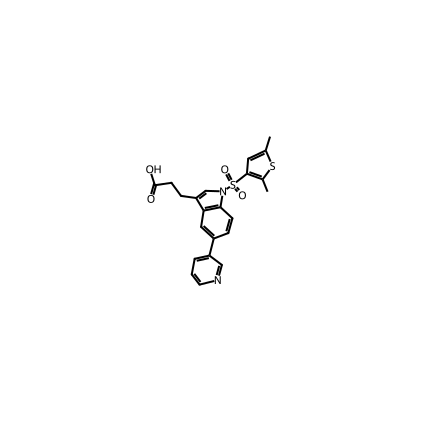 Cc1cc(S(=O)(=O)n2cc(CCC(=O)O)c3cc(-c4cccnc4)ccc32)c(C)s1